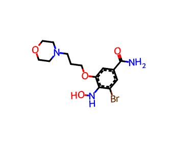 NC(=O)c1cc(Br)c(NO)c(OCCCN2CCOCC2)c1